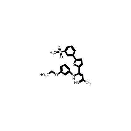 CS(=O)(=O)c1cccc(-c2ccc(/C(=C/C(=N)C(F)(F)F)Nc3cccc(OCC(=O)O)c3)s2)c1